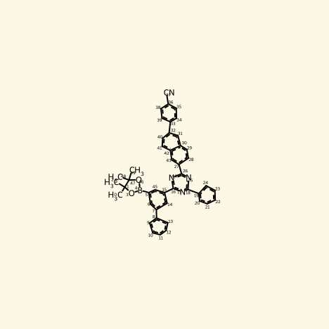 CC1(C)OB(c2cc(-c3ccccc3)cc(-c3nc(-c4ccccc4)nc(-c4ccc5cc(-c6ccc(C#N)cc6)ccc5c4)n3)c2)OC1(C)C